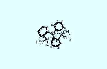 CC(C)(C)c1ccccc1[S+](c1ccccc1)c1ccccc1C(C)(C)C